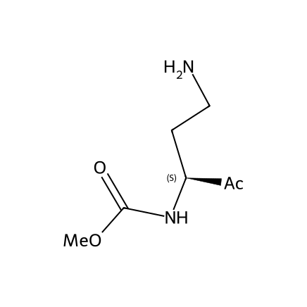 COC(=O)N[C@@H](CCN)C(C)=O